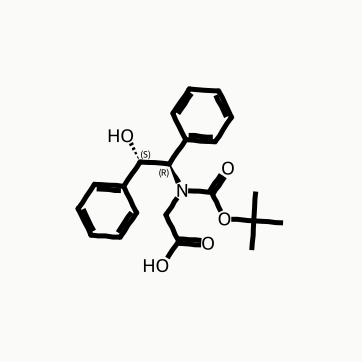 CC(C)(C)OC(=O)N(CC(=O)O)[C@H](c1ccccc1)[C@@H](O)c1ccccc1